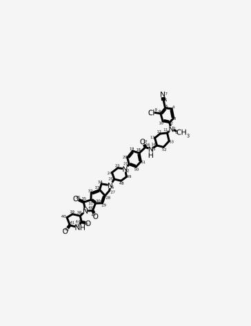 CN(c1ccc(C#N)c(Cl)c1)C1CCC(NC(=O)c2ccc(N3CCC(N4Cc5cc6c(cc5C4)C(=O)N(C4CCC(=O)NC4=O)C6=O)CC3)cc2)CC1